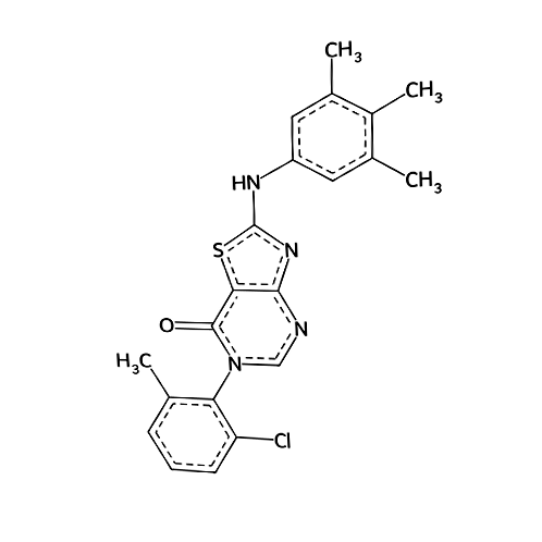 Cc1cc(Nc2nc3ncn(-c4c(C)cccc4Cl)c(=O)c3s2)cc(C)c1C